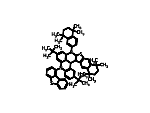 CC(C)(C)c1ccc2c(c1)C1c3c(cc(C(C)(C)C)cc3N2c2cccc3sc4ccccc4c23)N(c2ccc3c(c2)C(C)(C)CCC3(C)C)c2sc3cc4c(cc3c21)C(C)(C)CCC4(C)C